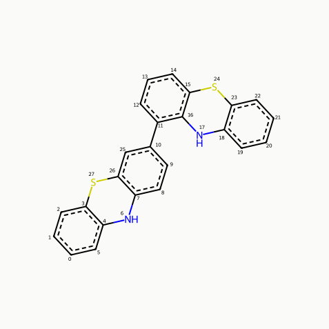 c1ccc2c(c1)Nc1ccc(-c3cccc4c3Nc3ccccc3S4)cc1S2